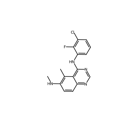 CNc1ccc2ncnc(Nc3cccc(Cl)c3F)c2c1C